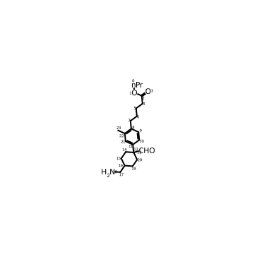 CCCOC(=O)CCCCc1ccc(C2(C=O)CCC(CN)CC2)cc1C